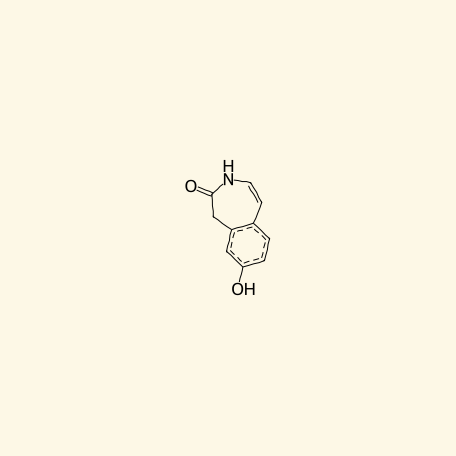 O=C1Cc2cc(O)ccc2C=CN1